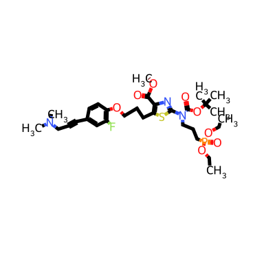 CCOP(=O)(CCCN(C(=O)OC(C)(C)C)c1nc(C(=O)OC)c(CCCOc2ccc(C#CCN(C)C)cc2F)s1)OCC